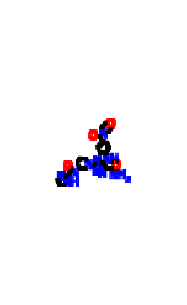 NC(=O)c1nnc(N2CCC[C@@H](NC(=O)c3ncccn3)C2)nc1Nc1ccc(C(=O)N2CCOCC2)cc1